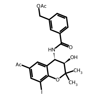 CC(=O)OCc1cccc(C(=O)N[C@H]2c3cc(C(C)=O)cc(I)c3OC(C)(C)[C@@H]2O)c1